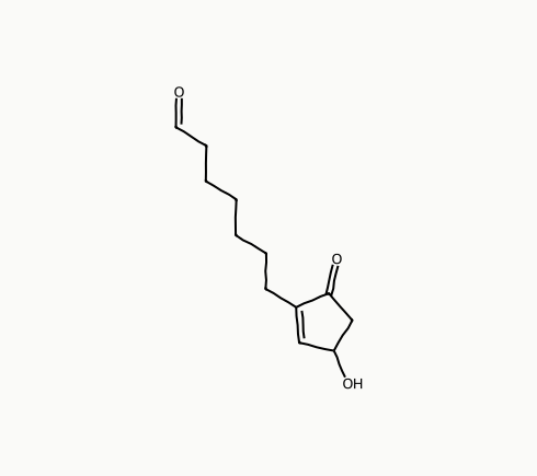 O=CCCCCCCC1=CC(O)CC1=O